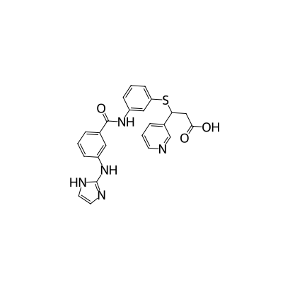 O=C(O)CC(Sc1cccc(NC(=O)c2cccc(Nc3ncc[nH]3)c2)c1)c1cccnc1